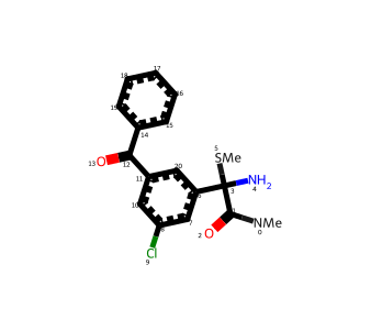 CNC(=O)C(N)(SC)c1cc(Cl)cc(C(=O)c2ccccc2)c1